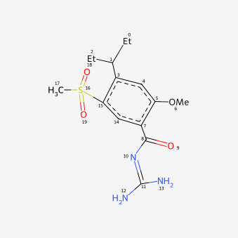 CCC(CC)c1cc(OC)c(C(=O)N=C(N)N)cc1S(C)(=O)=O